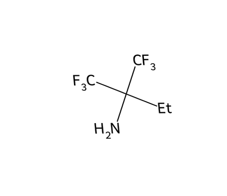 [CH2]CC(N)(C(F)(F)F)C(F)(F)F